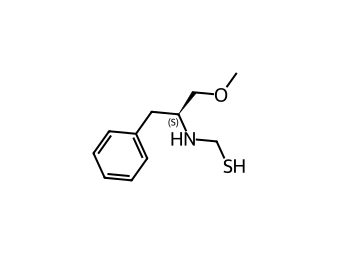 COC[C@H](Cc1ccccc1)NCS